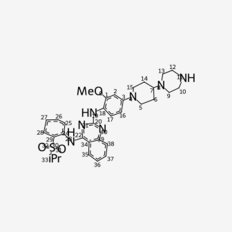 COc1cc(N2CCC(N3CCNCC3)CC2)ccc1Nc1nc(Nc2ccccc2S(=O)(=O)C(C)C)c2ccccc2n1